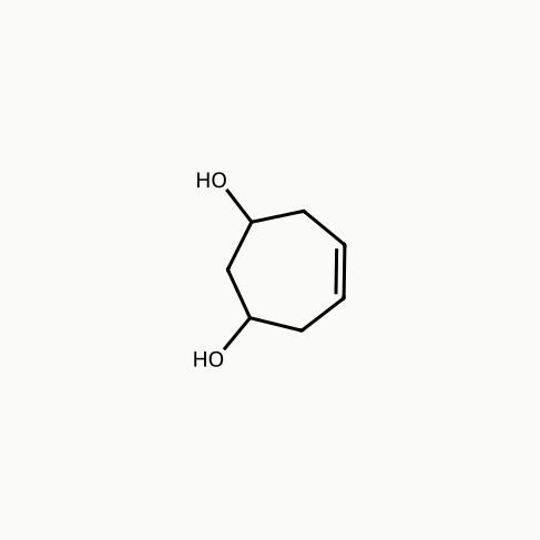 OC1CC=CCC(O)C1